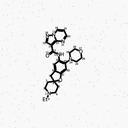 CCN1CCC2(CC1)Cc1cc(NC(=O)c3cnn4cccnc34)c(N3CCOCC3)cc1O2